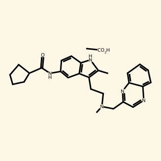 CC(=O)O.Cc1[nH]c2ccc(NC(=O)C3CCCC3)cc2c1CCN(C)Cc1cnc2ccccc2n1